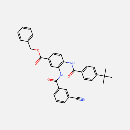 CC(C)(C)c1ccc(C(=O)Nc2ccc(C(=O)OCc3ccccc3)cc2NC(=O)c2cccc(C#N)c2)cc1